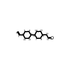 C=CC1CCC(C2CCC(CC=O)CC2)CC1